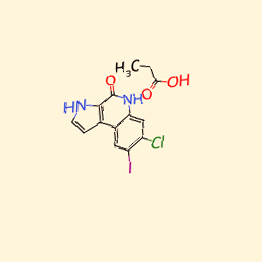 CCC(=O)O.O=c1[nH]c2cc(Cl)c(I)cc2c2cc[nH]c12